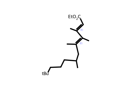 CCOC(=O)/C=C(C)/C(C)=C(\C)CC(C)CCCC(C)(C)C